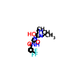 CCC[C@H](O)[C@H](CNCC(C)C)N1CC[C@H](NC(=O)c2cccc(C(F)(F)F)c2)C1=O